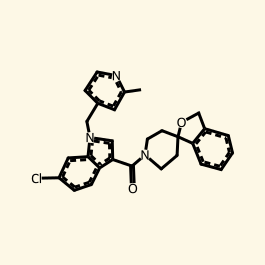 Cc1cc(Cn2cc(C(=O)N3CCC4(CC3)OCc3ccccc34)c3ccc(Cl)cc32)ccn1